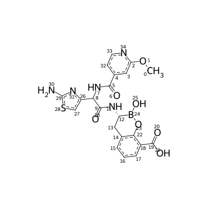 COc1cc(C(=O)NC(C(=O)N[C@H]2Cc3cccc(C(=O)O)c3OB2O)c2csc(N)n2)ccn1